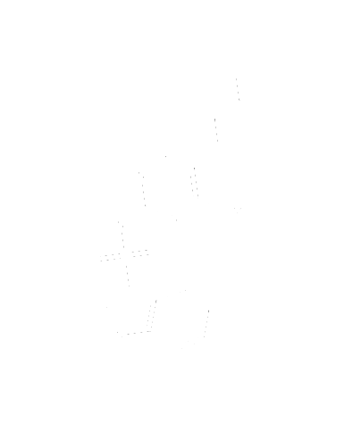 COc1nc(NS(=O)(=O)c2c[nH]c3cc(Cl)ccc23)ncc1OCC(F)F